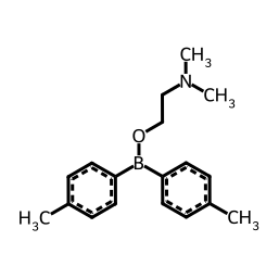 Cc1ccc(B(OCCN(C)C)c2ccc(C)cc2)cc1